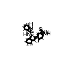 O=c1[nH][nH]c2cc(Cl)c(-c3cc4c(c(Nc5n[nH]c6ccccc56)n3)CCCC4)cc12